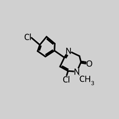 CN1C(=O)CN=C(c2ccc(Cl)cc2)C=C1Cl